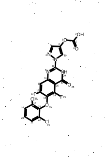 O=C(O)Oc1cnn(-c2nc3cc(F)c(Oc4c(Cl)cccc4Cl)c(F)c3c(=O)[nH]2)c1